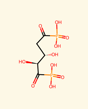 O=C(C[C@H](O)[C@H](O)C(=O)P(=O)(O)O)P(=O)(O)O